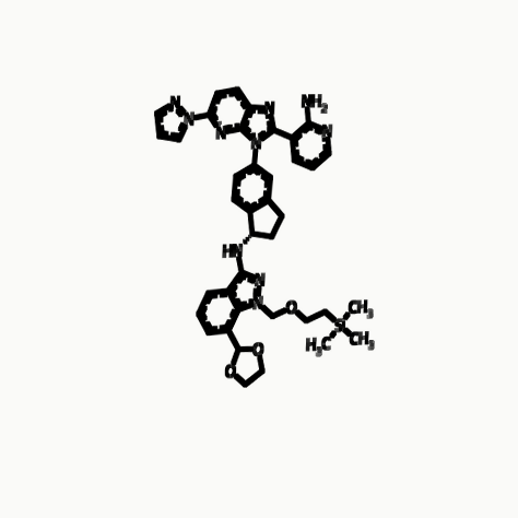 C[Si](C)(C)CCOCn1nc(N[C@H]2CCc3cc(-n4c(-c5cccnc5N)nc5ccc(-n6cccn6)nc54)ccc32)c2cccc(C3OCCO3)c21